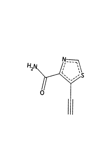 C#Cc1scnc1C(N)=O